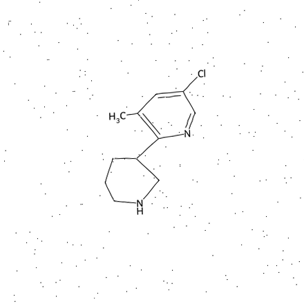 Cc1cc(Cl)cnc1C1CCCNC1